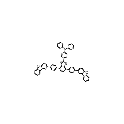 c1ccc(N(c2ccccc2)c2ccc(-c3nc4c(-c5ccc(-c6ccc7oc8ccccc8c7c6)cc5)ccc(-c5ccc(-c6ccc7oc8ccccc8c7c6)cc5)c4s3)cc2)cc1